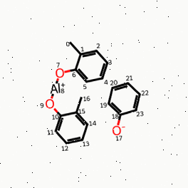 Cc1ccccc1[O][Al+][O]c1ccccc1C.[O-]c1ccccc1